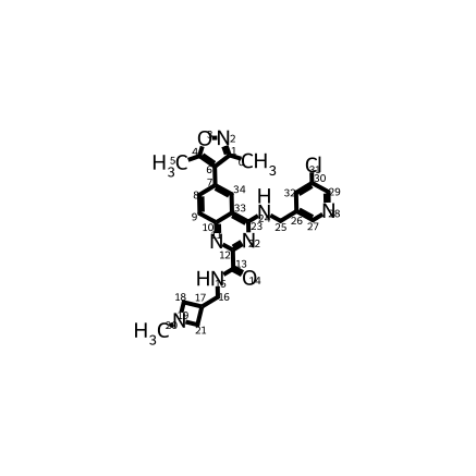 Cc1noc(C)c1-c1ccc2nc(C(=O)NCC3CN(C)C3)nc(NCc3cncc(Cl)c3)c2c1